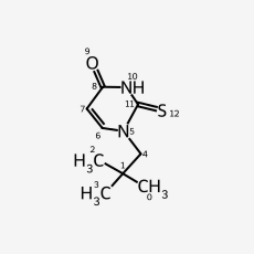 CC(C)(C)Cn1ccc(=O)[nH]c1=S